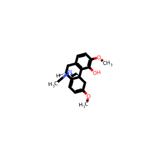 COC1=CC=C2[C@H]3Cc4ccc(OC)c(O)c4[C@@]2(CCN3C)C1